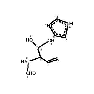 C=CC([AsH]C=O)B(O)O.c1c[nH]cn1